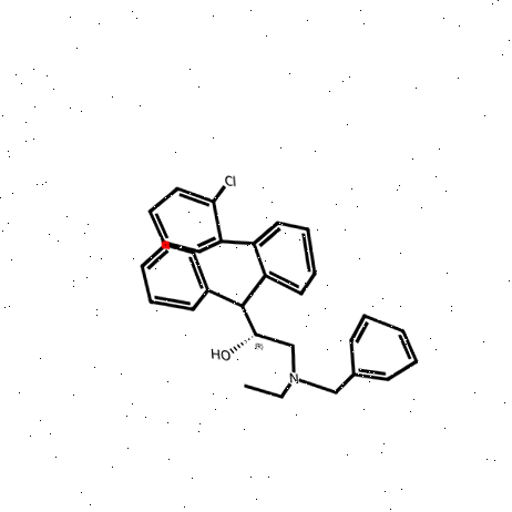 CCN(Cc1ccccc1)C[C@H](O)C(c1ccccc1)c1ccccc1-c1ccccc1Cl